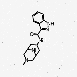 CN1CC2CC(NC(=O)c3n[nH]c4ccccc34)CC(C1)N2